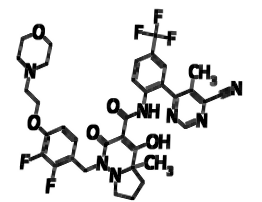 Cc1c(C#N)ncnc1-c1cc(C(F)(F)F)ccc1NC(=O)C1=C(O)C2(C)CCCN2N(Cc2ccc(OCCN3CCOCC3)c(F)c2F)C1=O